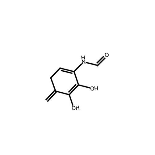 C=C1CC=C(N[C]=O)C(O)=C1O